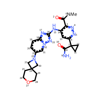 CNC(=O)c1nnc(C2(C(N)=O)CC2)cc1Nc1nc2ccc(N3CC4(CCOCC4)C3)cn2n1